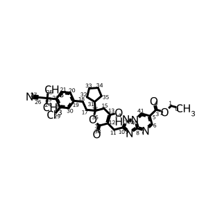 CCOC(=O)c1cnc2nc(CC3=C(O)CC(CCc4ccc(C(C)(C)C#N)c(Cl)c4)(C4CCCC4)OC3=O)nn2c1